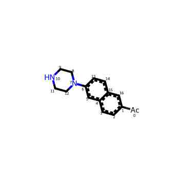 CC(=O)c1ccc2cc(N3CCNCC3)ccc2c1